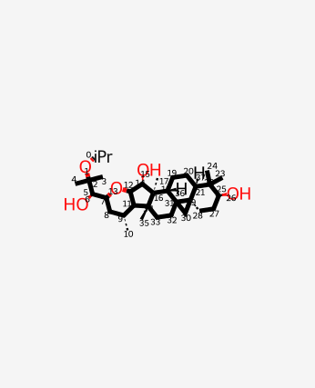 CC(C)OC(C)(C)[C@H](O)C1C[C@@H](C)C2C(O1)[C@H](O)[C@@]1(C)[C@@H]3CC[C@H]4C(C)(C)[C@@H](O)CC[C@@]45CC35CC[C@]21C